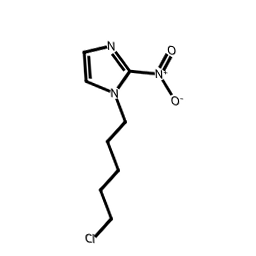 O=[N+]([O-])c1nccn1CCCCCCl